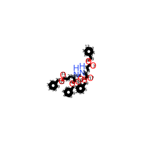 O=C(N[C@H](CCC(=O)OCc1ccccc1)C(=O)OCc1ccccc1)N[C@H](CCC(=O)OCc1ccccc1)C(=O)OCc1ccccc1